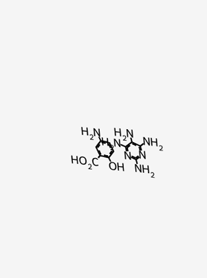 Nc1ccc(O)c(C(=O)O)c1.Nc1nc(N)c(N)c(N)n1